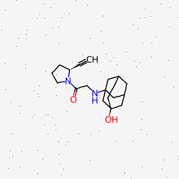 C#C[C@@H]1CCCN1C(=O)CNC12CC3CC(CC(O)(C3)C1)C2